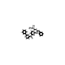 CC(C)NCC[C@@H](Cc1ccccc1)Nc1nccc(N(C)c2ccnc(-c3ccccc3)n2)n1